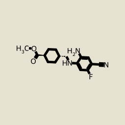 COC(=O)[C@H]1CC[C@H](CNc2cc(F)c(C#N)cc2N)CC1